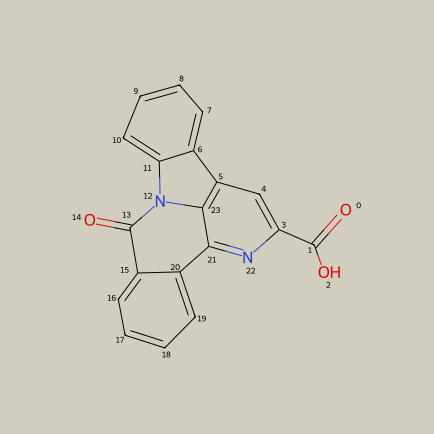 O=C(O)c1cc2c3ccccc3n3c(=O)c4ccccc4c(n1)c23